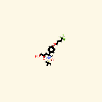 CC(C)(C)[S@+]([O-])N[C@](C)(CC(=O)CO)c1ccc(OCCCC(F)(F)F)cc1